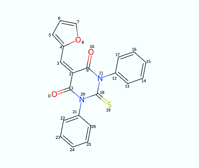 O=C1C(=Cc2ccco2)C(=O)N(c2ccccc2)C(=S)N1c1ccccc1